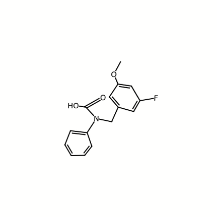 COc1cc(F)cc(CN(C(=O)O)c2ccccc2)c1